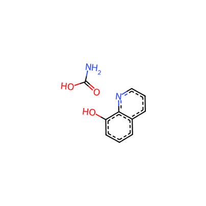 NC(=O)O.Oc1cccc2cccnc12